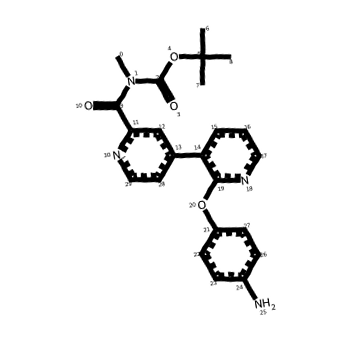 CN(C(=O)OC(C)(C)C)C(=O)c1cc(-c2cccnc2Oc2ccc(N)cc2)ccn1